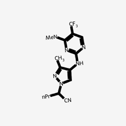 CCCC(C#N)n1cc(Nc2ncc(C(F)(F)F)c(NC)n2)c(C)n1